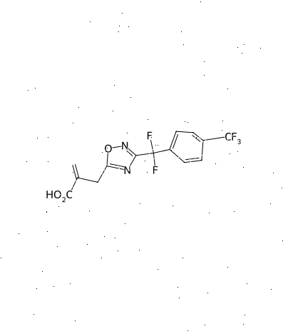 C=C(Cc1nc(C(F)(F)c2ccc(C(F)(F)F)cc2)no1)C(=O)O